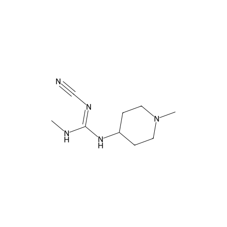 CNC(=NC#N)NC1CCN(C)CC1